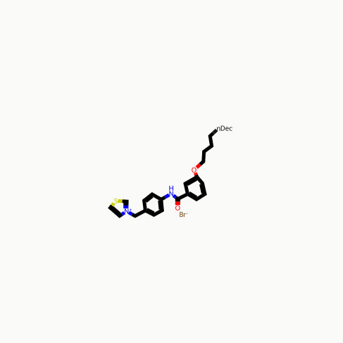 CCCCCCCCCCCCCCOc1cccc(C(=O)Nc2ccc(C[n+]3ccsc3)cc2)c1.[Br-]